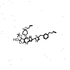 C=CCCc1cccc(Cc2cnc(-c3cc4nc(C)c(C(OC(C)(C)C)C(=O)O)c(N5CCC(C)(OCC=C)CC5)n4n3)s2)c1